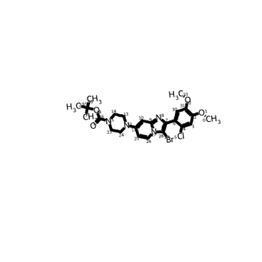 COc1cc(Cl)c(-c2nc3cc(N4CCN(C(=O)OC(C)(C)C)CC4)ccn3c2Br)cc1OC